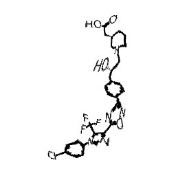 O=C(O)C[C@H]1CCCN(C[C@@H](O)c2ccc(-c3noc(-c4ncn(-c5ccc(Cl)cc5)c4C(F)(F)F)n3)cc2)C1